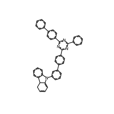 C1=CCC2C(=C1)N(c1cccc(-c3ccc(-c4nc(-c5ccccc5)nc(-c5ccc(-c6ccccc6)cc5)n4)cc3)c1)c1ccccc12